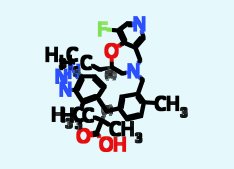 CC[C@@H]1CN(Cc2cc([C@@H](c3ccc4c(nnn4C)c3C)C(C)(C)C(=O)O)ccc2C)Cc2cncc(F)c2O1